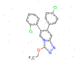 FC(F)(F)COc1nnc2cc(-c3ccc(Cl)cc3)c(-c3ccccc3Cl)cn12